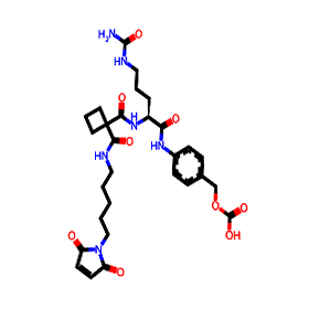 NC(=O)NCCC[C@H](NC(=O)C1(C(=O)NCCCCCN2C(=O)C=CC2=O)CCC1)C(=O)Nc1ccc(COC(=O)O)cc1